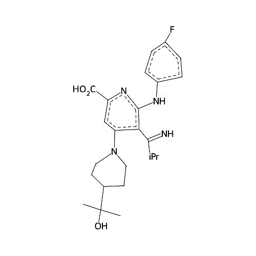 CC(C)C(=N)c1c(N2CCC(C(C)(C)O)CC2)cc(C(=O)O)nc1Nc1ccc(F)cc1